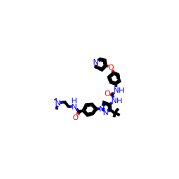 CN(C)CCNC(=O)c1ccc(-n2cc(NC(=O)Nc3ccc(Oc4ccncc4)cc3)c(C(C)(C)C)n2)cc1